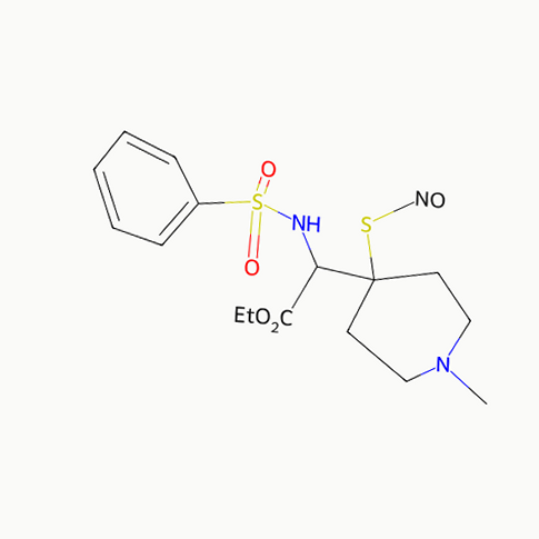 CCOC(=O)C(NS(=O)(=O)c1ccccc1)C1(SN=O)CCN(C)CC1